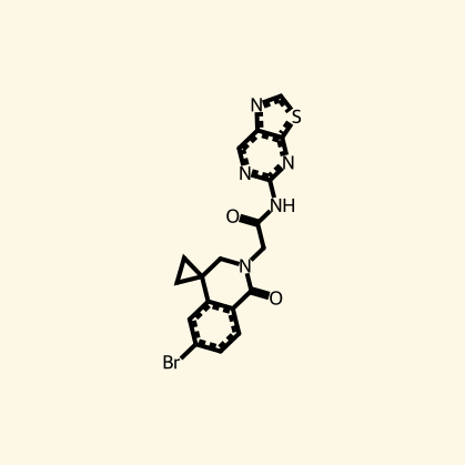 O=C(CN1CC2(CC2)c2cc(Br)ccc2C1=O)Nc1ncc2ncsc2n1